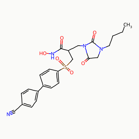 CCCCN1CC(=O)N(CC(CS(=O)(=O)c2ccc(-c3ccc(C#N)cc3)cc2)C(=O)NO)C1=O